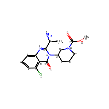 C[C@H](N)c1nc2cccc(Cl)c2c(=O)n1C1CCCN(C(=O)OC(C)(C)C)C1